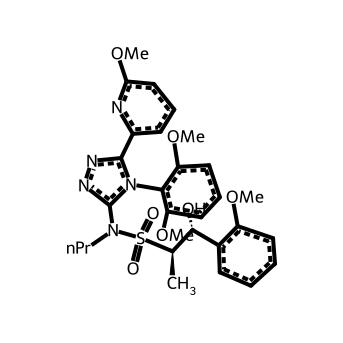 CCCN(c1nnc(-c2cccc(OC)n2)n1-c1c(OC)cccc1OC)S(=O)(=O)[C@H](C)[C@H](O)c1ccccc1OC